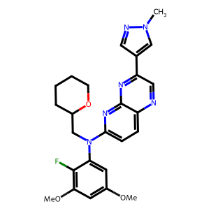 COc1cc(OC)c(F)c(N(CC2CCCCO2)c2ccc3ncc(-c4cnn(C)c4)nc3n2)c1